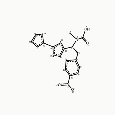 CN(C(=O)O)[C@@H](Cc1ccc([N+](=O)[O-])cc1)c1csc(-c2cccs2)n1